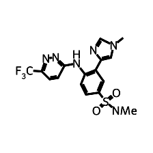 CNS(=O)(=O)c1ccc(Nc2ccc(C(F)(F)F)nn2)c(-c2cn(C)cn2)c1